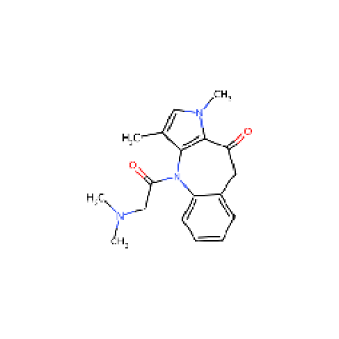 Cc1cn(C)c2c1N(C(=O)CN(C)C)c1ccccc1CC2=O